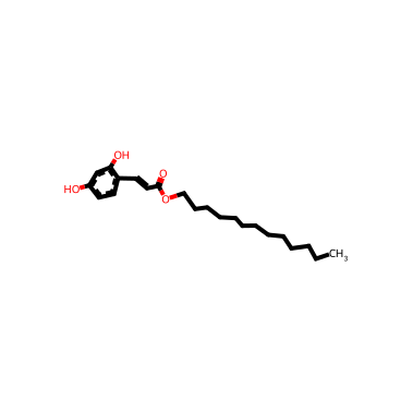 CCCCCCCCCCCCCOC(=O)/C=C/c1ccc(O)cc1O